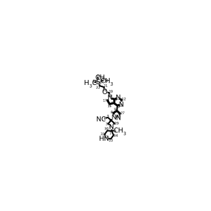 CC1(N2CC(CC#N)(n3cc(-c4ncnc5c4ccn5COCC[Si](C)(C)C)cn3)C2)CCNCC1